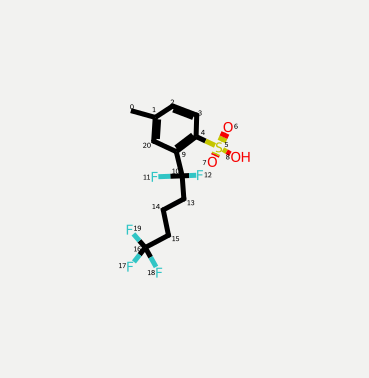 Cc1ccc(S(=O)(=O)O)c(C(F)(F)CCCC(F)(F)F)c1